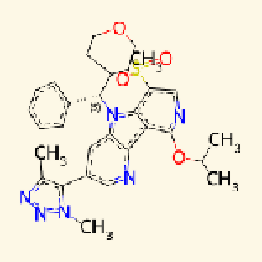 Cc1nnn(C)c1-c1cnc2c3c(OC(C)C)ncc(S(C)(=O)=O)c3n([C@H](c3ccccc3)C3CCOCC3)c2c1